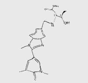 Cc1cc(-c2nc3cc(CN[C@H](C(=O)OCC(C)C)[C@@H](C)O)ccc3n2C)cn(C)c1=O